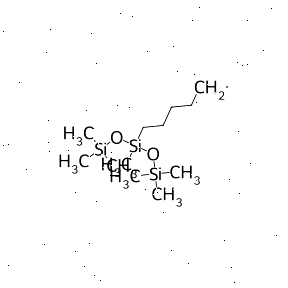 [CH2]CCCC[Si](C)(O[Si](C)(C)C)O[Si](C)(C)C